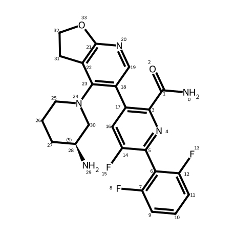 NC(=O)c1nc(-c2c(F)cccc2F)c(F)cc1-c1cnc2c(c1N1CCC[C@H](N)C1)CCO2